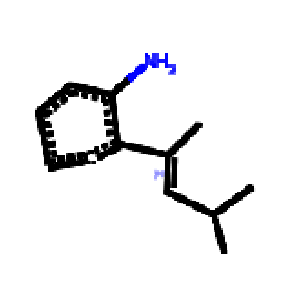 C/C(=C\C(C)C)c1ccccc1N